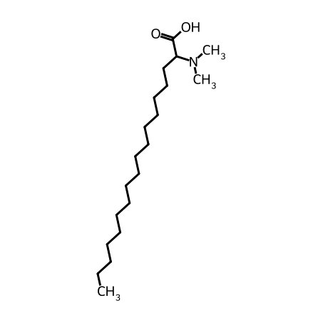 CCCCCCCCCCCCCCCCC(C(=O)O)N(C)C